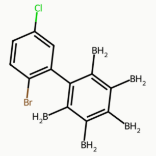 Bc1c(B)c(B)c(-c2cc(Cl)ccc2Br)c(B)c1B